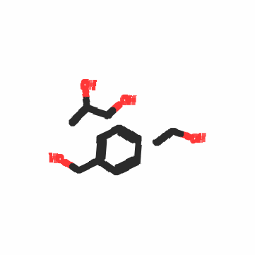 CC(O)CO.CCO.OCc1ccccc1